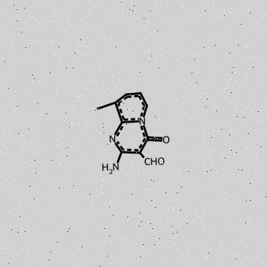 Cc1cccn2c(=O)c(C=O)c(N)nc12